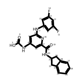 O=C(O)Nc1cc(Nc2cc(F)cc(F)c2)nc(C(=O)NC2Cc3ccccc3C2)c1